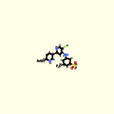 CC(=O)Nc1ccc(-c2cc(Nc3cc(C(F)(F)F)cc(S(C)(=O)=O)c3)c(F)cn2)cn1